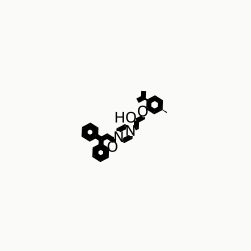 CC(C)[C@H]1CC[C@H](C)C[C@@H]1OCC(O)CN1CCN(C(=O)CC(c2ccccc2)c2ccccc2)CC1